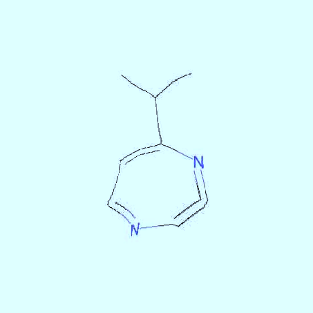 CC(C)C1=CC=NC=C=N1